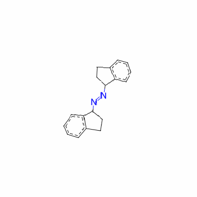 c1ccc2c(c1)CCC2N=NC1CCc2ccccc21